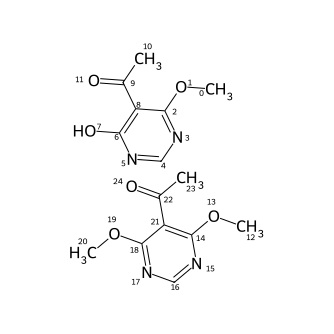 COc1ncnc(O)c1C(C)=O.COc1ncnc(OC)c1C(C)=O